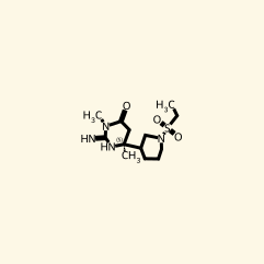 CCS(=O)(=O)N1CCCC([C@]2(C)CC(=O)N(C)C(=N)N2)C1